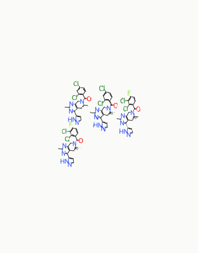 Cc1nc2c(c(-c3ccn[nH]3)n1)CC(C)N(C(=O)c1ccc(Cl)cc1Cl)C2.Cc1nc2c(c(-c3ccn[nH]3)n1)C[C@@H](C)N(C(=O)c1ccc(Cl)cc1Cl)C2.Cc1nc2c(c(-c3ccn[nH]3)n1)C[C@@H](C)N(C(=O)c1ccc(F)c(Cl)c1Cl)C2.Cc1nc2c(c(-c3ccn[nH]3)n1)C[C@H](C)N(C(=O)c1ccc(F)c(Cl)c1Cl)C2